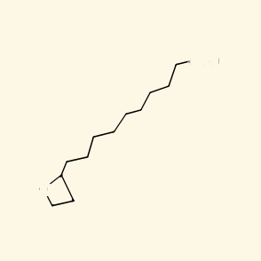 CCCCCCCC[CH]CCCCCCCCC1CCO1